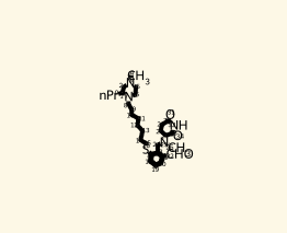 CCCC1CN(C)CCN1CCCCCCCCSc1cccc(C=O)c1CN(C)C1CCC(=O)NC1=O